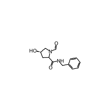 O=CN1C[C@H](O)CC1C(=O)NCc1ccccc1